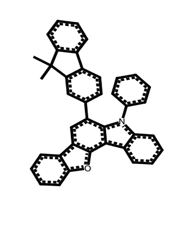 CC1(C)c2ccccc2-c2ccc(-c3cc4c5ccccc5oc4c4c5ccccc5n(-c5ccccc5)c34)cc21